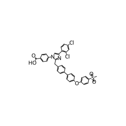 CS(=O)(=O)c1ccc(Oc2ccc(-c3ccc(Cc4nc(-c5ccc(Cl)cc5Cl)cn4-c4ccc(C(=O)O)cc4)cc3)cc2)cc1